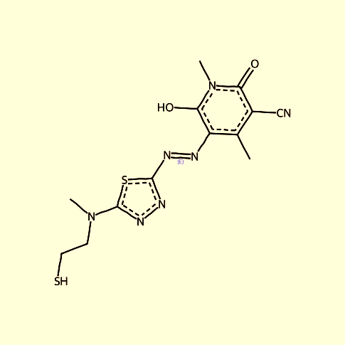 Cc1c(/N=N/c2nnc(N(C)CCS)s2)c(O)n(C)c(=O)c1C#N